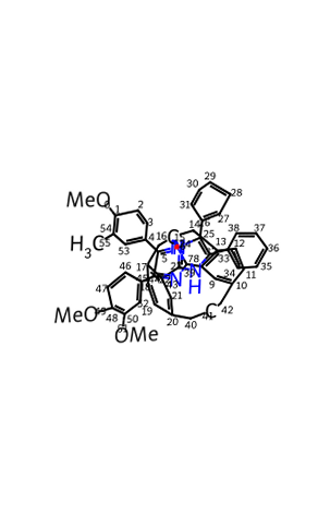 COc1ccc(C2=NC(c3cc4ccc3CCCc3ccc(cc3-c3nc(-c5ccccc5)c(-c5ccccc5)[nH]3)CCC4)N=C2c2ccc(OC)c(OC)c2)cc1C